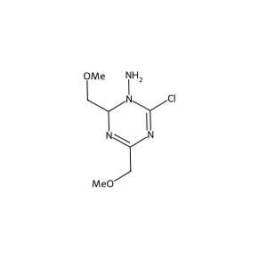 COCC1=NC(COC)N(N)C(Cl)=N1